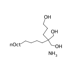 CCCCCCCCCCCCC(CO)(CO)CCCO.N